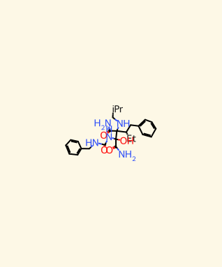 CCC(Cc1ccccc1)C(NCC(C)C)(C(N)=O)C(O)(NC(=O)NCc1ccccc1)C(N)=O